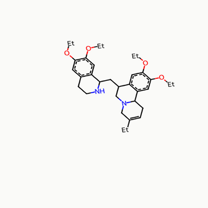 CCOc1cc2c(cc1OCC)C(CC1CN3CC(CC)=CCC3c3cc(OCC)c(OCC)cc31)NCC2